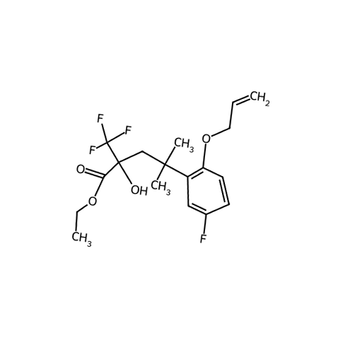 C=CCOc1ccc(F)cc1C(C)(C)CC(O)(C(=O)OCC)C(F)(F)F